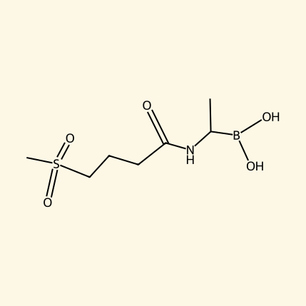 CC(NC(=O)CCCS(C)(=O)=O)B(O)O